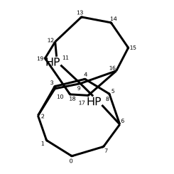 C1CC2CCCC(C1)PC1(C2)PC2CCCC1CCC2